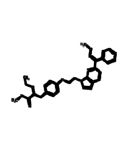 CCOC(Cc1ccc(OCCn2ccc3ccc(C(=NOC)c4ccncc4)nc32)cc1)C(=O)OC